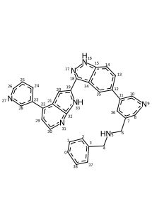 c1ccc(CNCc2cncc(-c3ccc4[nH]nc(-c5cc6c(-c7cccnc7)ccnc6[nH]5)c4c3)c2)cc1